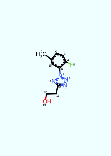 Cc1ccc(F)c(-n2nnc(CCO)n2)c1